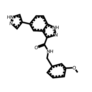 COc1cccc(CNC(=O)c2n[nH]c3ccc(-c4cn[nH]c4)cc23)c1